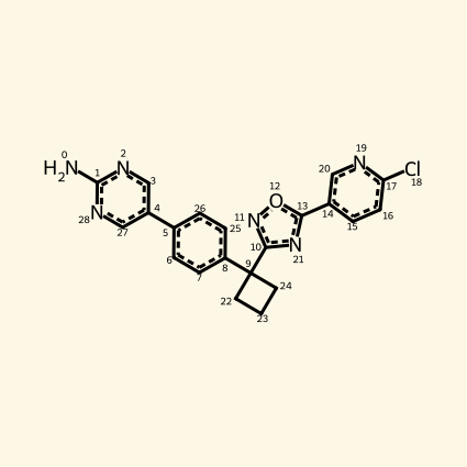 Nc1ncc(-c2ccc(C3(c4noc(-c5ccc(Cl)nc5)n4)CCC3)cc2)cn1